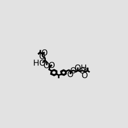 C=C(C)C(=O)OCC(O)COC(=O)Cc1ccc(C(C)c2ccc(CC(=O)OCC(O)COC(=O)C(=C)C)cc2)cc1